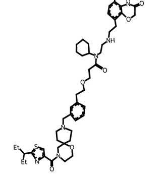 CCC(CC)c1nc(C(=O)N2CCOC3(CCN(Cc4cccc(CCOCCC(=O)N(CCNCCc5ccc(O)c6c5OCC(=O)N6)C5CCCCC5)c4)CC3)C2)cs1